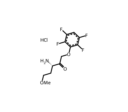 COCC[C@H](N)C(=O)COc1c(F)c(F)cc(F)c1F.Cl